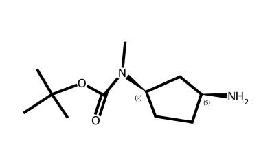 CN(C(=O)OC(C)(C)C)[C@@H]1CC[C@H](N)C1